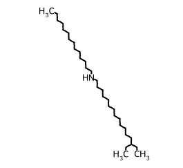 CCCCCCCCCCCCCCNCCCCCCCCCCCCCC(CC)CC